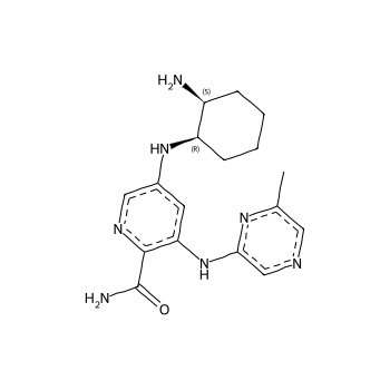 Cc1cncc(Nc2cc(N[C@@H]3CCCC[C@@H]3N)cnc2C(N)=O)n1